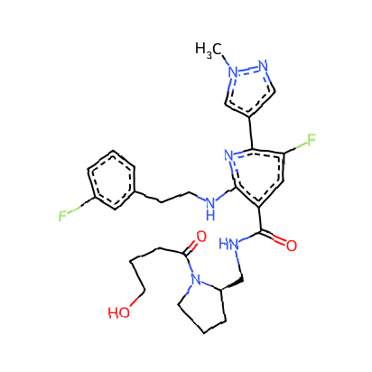 Cn1cc(-c2nc(NCCc3cccc(F)c3)c(C(=O)NC[C@H]3CCCN3C(=O)CCCO)cc2F)cn1